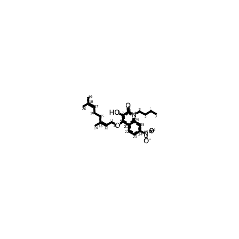 CCCCn1c(=O)c(O)c(OCC=C(C)CCC=C(C)C)c2ccc([N+](=O)[O-])cc21